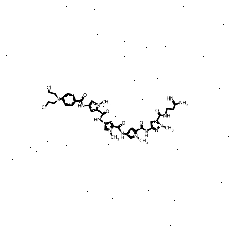 Cn1cc(NC(=O)c2ccc(N(CCCl)CCCl)cc2)cc1C(=O)Nc1cc(C(=O)Nc2cc(C(=O)Nc3cc(C(=O)NCCC(=N)N)n(C)n3)n(C)c2)n(C)c1